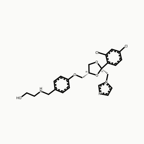 OCCNCc1ccc(OC[C@@H]2CO[C@@](Cn3ccnc3)(c3ccc(Cl)cc3Cl)O2)cc1